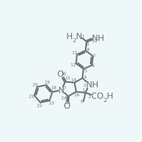 CC1(C(=O)O)NC(c2ccc(C(=N)N)cc2)C2C(=O)N(c3ccccc3)C(=O)C21